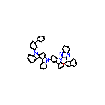 c1ccc(-c2cccc(-n3c4ccccc4c4c5c6ccccc6n(-c6ccc7c(c6)c6ccccc6n7-c6nc7ccccc7nc6-c6cccc7ccccc67)c5ccc43)c2)cc1